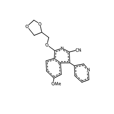 COc1ccc2c(OCC3COCO3)nc(C#N)c(-c3cccnc3)c2c1